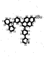 CC(C)(C)c1cc2ccc3c(-c4ccc(-c5cccnc5)cc4)cc(-c4cccc(-n5c6c(c7ccccc75)C=CCC6)c4)c4ccc(c1)c2c34